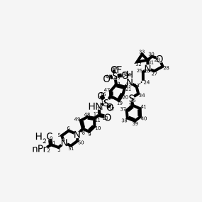 C=C(CCC)CN1CCN(c2ccc(C(=O)NS(=O)(=O)c3ccc(N[C@H](CCN4CCOCC45CC5)CSc4ccccc4)c(S(=O)(=O)C(F)(F)F)c3)cc2)CC1